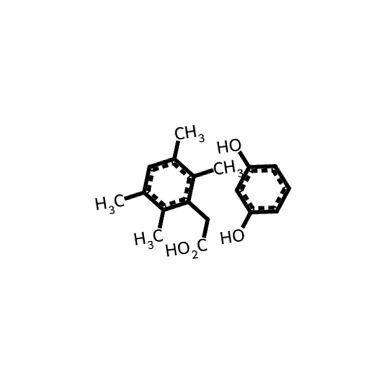 Cc1cc(C)c(C)c(CC(=O)O)c1C.Oc1cccc(O)c1